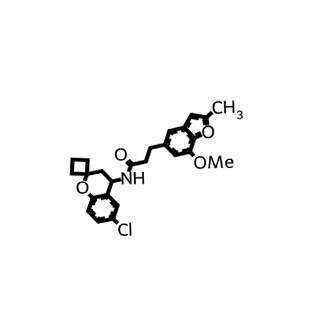 COc1cc(CCC(=O)NC2CC3(CCC3)Oc3ccc(Cl)cc32)cc2cc(C)oc12